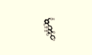 O=c1[nH]c2c(c(=O)n1C1CCOCC1)CCC(c1cc(CO)ccc1F)N2